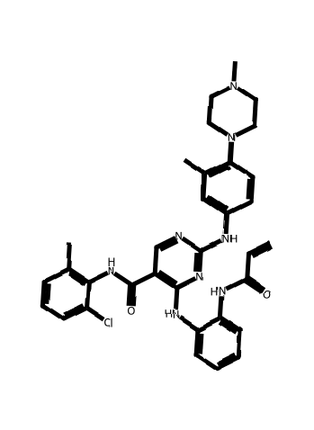 C=CC(=O)Nc1ccccc1Nc1nc(Nc2ccc(N3CCN(C)CC3)c(C)c2)ncc1C(=O)Nc1c(C)cccc1Cl